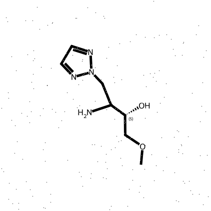 COC[C@@H](O)C(N)Cn1nccn1